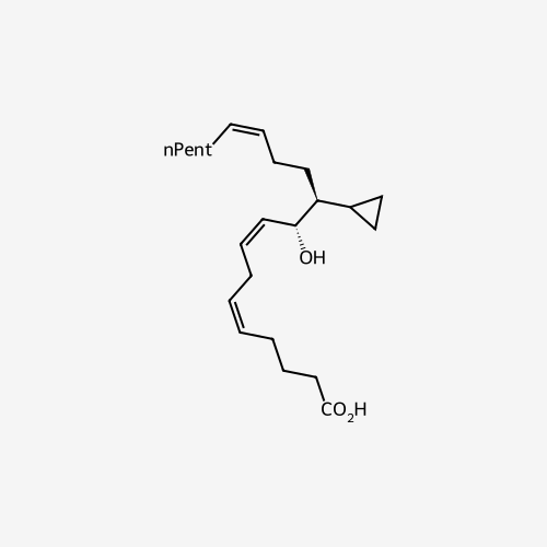 CCCCC/C=C\CC[C@@H](C1CC1)[C@H](O)/C=C\C/C=C\CCCC(=O)O